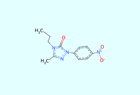 CCCn1c(C)nn(-c2ccc([N+](=O)[O-])cc2)c1=O